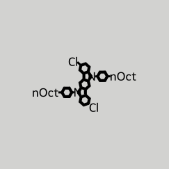 CCCCCCCCc1ccc(-n2c3ccc(Cl)cc3c3cc4c(cc32)c2cc(Cl)ccc2n4-c2ccc(CCCCCCCC)cc2)cc1